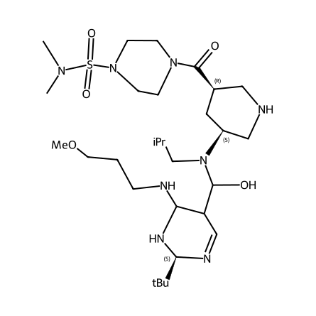 COCCCNC1N[C@H](C(C)(C)C)N=CC1C(O)N(CC(C)C)[C@@H]1CNC[C@H](C(=O)N2CCN(S(=O)(=O)N(C)C)CC2)C1